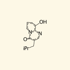 CC(C)Cc1cnc2c(O)cccn2c1=O